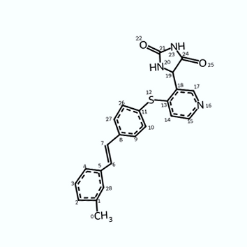 Cc1cccc(/C=C/c2ccc(Sc3ccncc3C3NC(=O)NC3=O)cc2)c1